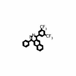 FC(F)(F)c1cc(-c2nnc(-c3ccccc3)c3cc4ccccc4cc23)cc(C(F)(F)F)c1